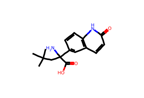 CC(C)(C)CC(N)(C(=O)O)c1ccc2[nH]c(=O)ccc2c1